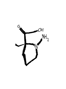 C[C@]1(C(=O)O)CCCN1N